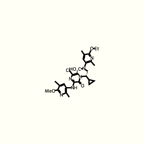 CCOc1nc(C)c(N(C[C@H](C2CC2)n2cc(Cl)nc(Nc3cc(C)c(OC)nc3C)c2=O)C(=O)O)cc1C